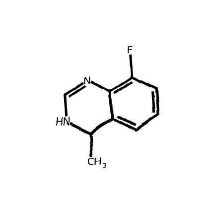 CC1NC=Nc2c(F)cccc21